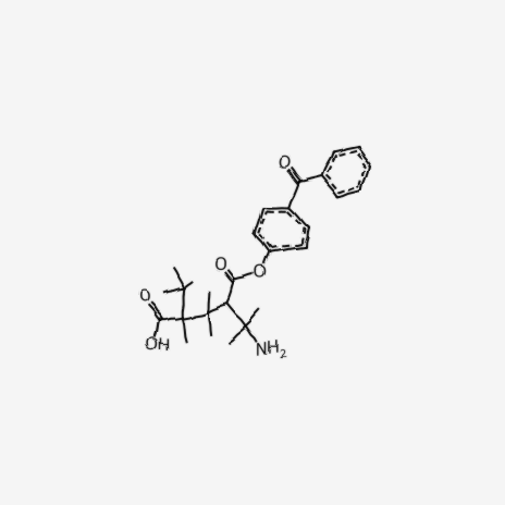 CC(C)(N)C(C(=O)Oc1ccc(C(=O)c2ccccc2)cc1)C(C)(C)C(C)(C(=O)O)C(C)(C)C